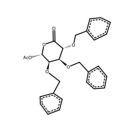 CC(=O)O[C@@H]1OC(=O)[C@H](OCc2ccccc2)[C@@H](OCc2ccccc2)[C@H]1OCc1ccccc1